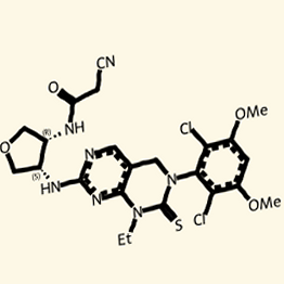 CCN1C(=S)N(c2c(Cl)c(OC)cc(OC)c2Cl)Cc2cnc(N[C@@H]3COC[C@@H]3NC(=O)CC#N)nc21